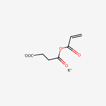 C=CC(=O)OC(=O)CCC(=O)[O-].[K+]